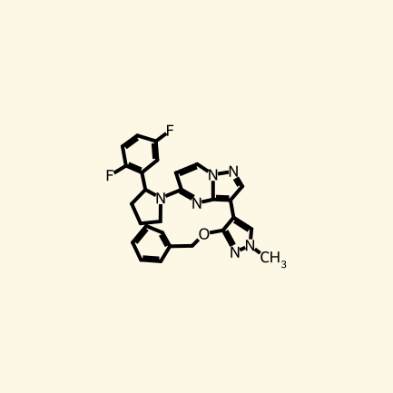 Cn1cc(-c2cnn3ccc(N4CCCC4c4cc(F)ccc4F)nc23)c(OCc2ccccc2)n1